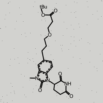 Cn1c(=O)n(C2CCC(=O)NC2=O)c2ccc(CCCOCCC(=O)OC(C)(C)C)cc21